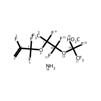 C=C(F)C(F)(F)OC(F)(C(F)(F)F)C(F)(F)OC(F)(C(=O)O)C(F)(F)F.N